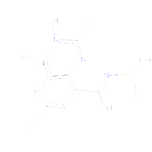 CC(=N[S+]([O-])C(C)(C)C)c1cc(C)cc2c(=O)n(C)c(Cl)nc12